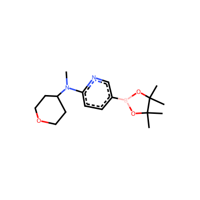 CN(c1ccc(B2OC(C)(C)C(C)(C)O2)cn1)C1CCOCC1